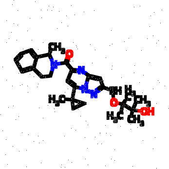 C[C@@H]1c2ccccc2CCN1C(=O)c1cc(C2(C)CC2)n2nc(BOC(C)(C)C(C)(C)O)cc2n1